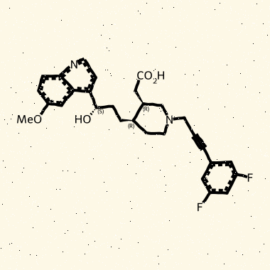 COc1ccc2nccc([C@@H](O)CC[C@@H]3CCN(CC#Cc4cc(F)cc(F)c4)C[C@@H]3CC(=O)O)c2c1